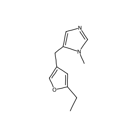 CCc1cc(Cc2cncn2C)co1